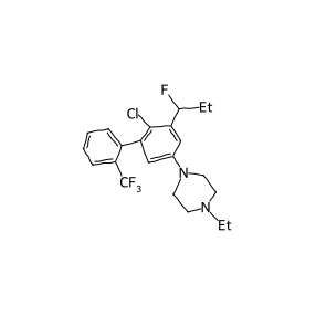 CCC(F)c1cc(N2CCN(CC)CC2)cc(-c2ccccc2C(F)(F)F)c1Cl